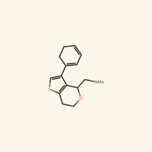 CNCC1OCCc2scc(C3=CC=CCC3)c21